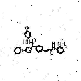 Nc1ccccc1NC(=O)C=Cc1ccc(C(C(=O)Nc2ccc(Br)cc2)N2CCC(N3CCCCC3)C2)cc1